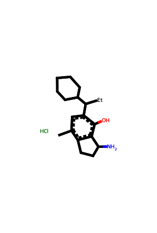 CCC(c1cc(C)c2c(c1O)C(N)CC2)C1CCCCC1.Cl